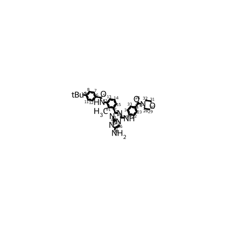 Cc1c(NC(=O)c2ccc(C(C)(C)C)cc2)cccc1-c1nc(Nc2ccc(C(=O)N3CCOCC3)cc2)n2cc(N)nc2n1